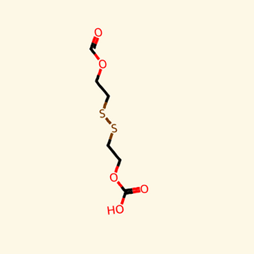 O=COCCSSCCOC(=O)O